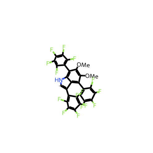 COc1c(OC)c(-c2c(F)c(F)c(F)c(F)c2F)c2c(-c3c(F)c(F)c(F)c(F)c3F)[c][nH]c2c1-c1c(F)c(F)c(F)c(F)c1F